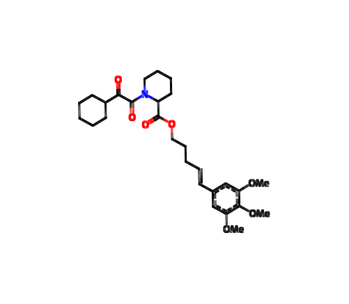 COc1cc(/C=C/CCCOC(=O)C2CCCCN2C(=O)C(=O)C2CCCCC2)cc(OC)c1OC